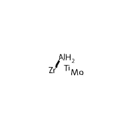 [AlH2][Zr].[Mo].[Ti]